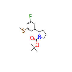 CSc1cc(F)cc(C2CCCN2C(=O)OC(C)(C)C)c1